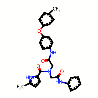 O=C(CN(CC(=O)Nc1ccc(Oc2ccc(C(F)(F)F)cc2)cc1)C(=O)c1ccc(C(F)(F)F)[nH]1)Nc1ccccc1